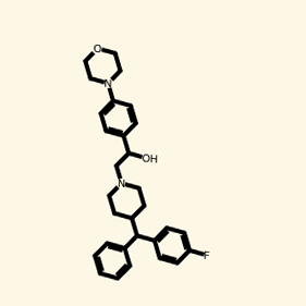 OC(CN1CCC(C(c2ccccc2)c2ccc(F)cc2)CC1)c1ccc(N2CCOCC2)cc1